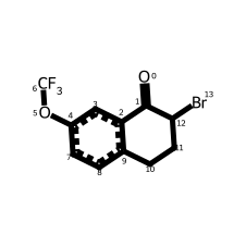 O=C1c2cc(OC(F)(F)F)ccc2CCC1Br